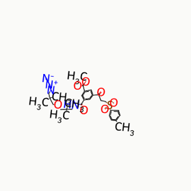 COC(=O)c1cc(C(=O)CCS(=O)(=O)c2ccc(C)cc2)cc(C(=O)NCC(C)(C)COCC(C)(C)CN=[N+]=[N-])c1